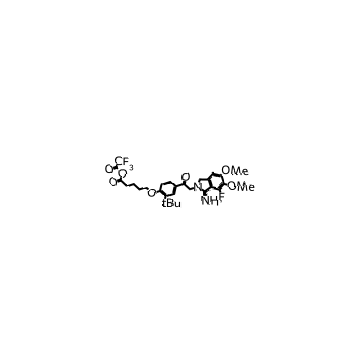 COc1cc2c(c(F)c1OC)C(=N)N(CC(=O)c1ccc(OCCCCC(=O)OC(=O)C(F)(F)F)c(C(C)(C)C)c1)C2